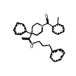 C=C(NCCCc1ccccc1)C1(c2ccccc2)CCN(C(=O)c2ccccc2C)CC1